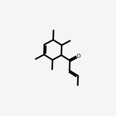 C/C=C/C(=O)C1C(C)C(C)=CC(C)C1C